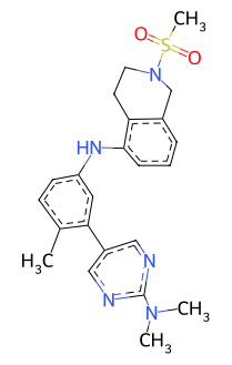 Cc1ccc(Nc2cccc3c2CCN(S(C)(=O)=O)C3)cc1-c1cnc(N(C)C)nc1